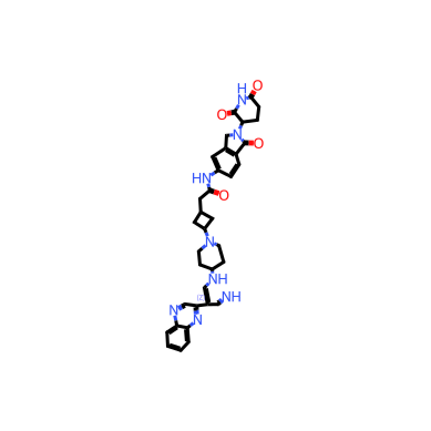 N=C/C(=C\NC1CCN(C2CC(CC(=O)Nc3ccc4c(c3)CN(C3CCC(=O)NC3=O)C4=O)C2)CC1)c1cnc2ccccc2n1